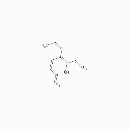 C=C/C(C)=C(\C=C/C)/C=C\N=C